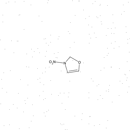 O=[N+]([O-])N1[C]=COC1